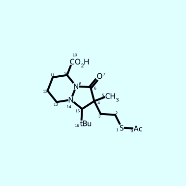 CC(=O)SCCC1(C)C(=O)N2C(C(=O)O)CCCN2C1C(C)(C)C